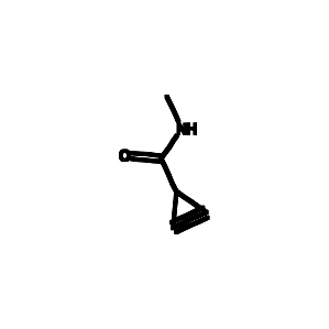 CNC(=O)C1C#C1